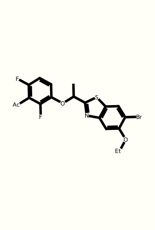 CCOc1cc2nc(C(C)Oc3ccc(F)c(C(C)=O)c3F)sc2cc1Br